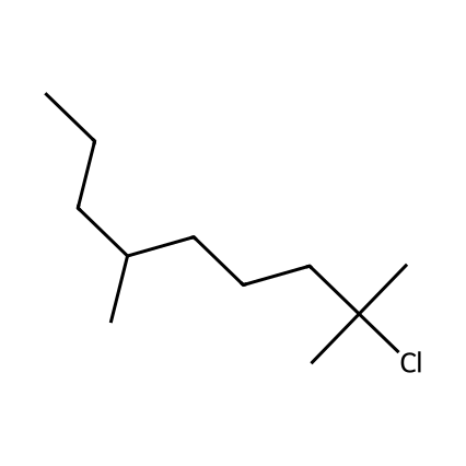 CCCC(C)CCCC(C)(C)Cl